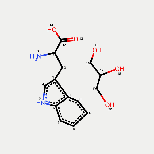 NC(Cc1c[nH]c2ccccc12)C(=O)O.OCC(O)CO